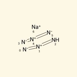 [N-]=[N+]=N.[N-]=[N+]=[N-].[Na+]